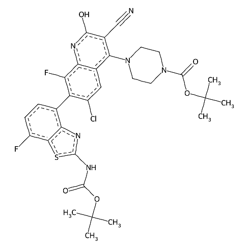 CC(C)(C)OC(=O)Nc1nc2c(-c3c(Cl)cc4c(N5CCN(C(=O)OC(C)(C)C)CC5)c(C#N)c(O)nc4c3F)ccc(F)c2s1